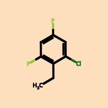 CCc1c(F)cc(F)cc1Cl